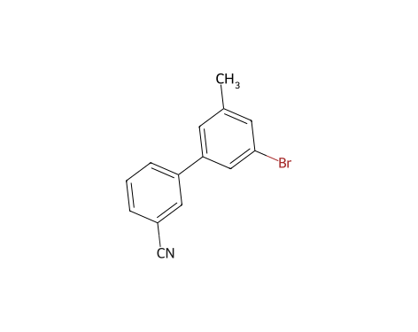 Cc1cc(Br)cc(-c2cccc(C#N)c2)c1